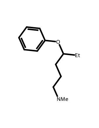 CCC(CCCNC)Oc1ccccc1